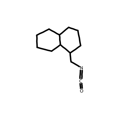 O=C=NCC1CCCC2CCCCC21